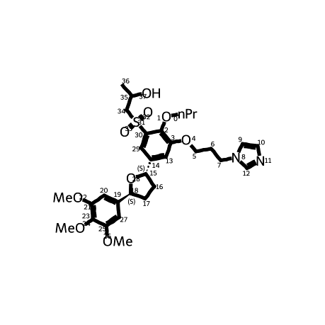 CCCOc1c(OCCCn2ccnc2)cc([C@@H]2CC[C@@H](c3cc(OC)c(OC)c(OC)c3)O2)cc1S(=O)(=O)CC(C)O